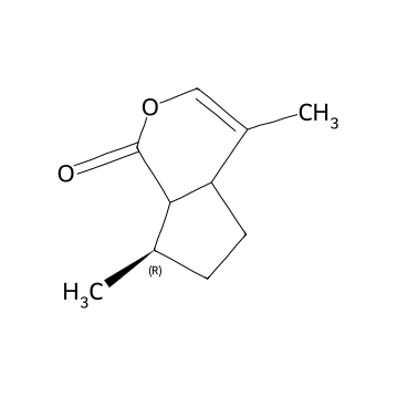 CC1=COC(=O)C2C1CC[C@H]2C